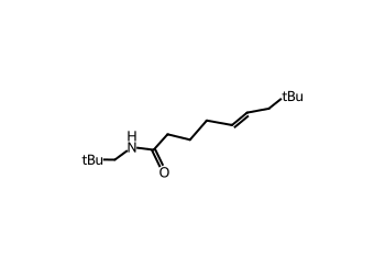 CC(C)(C)CC=CCCCC(=O)NCC(C)(C)C